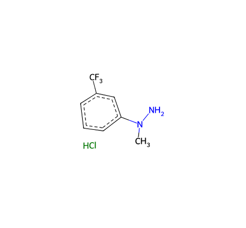 CN(N)c1cccc(C(F)(F)F)c1.Cl